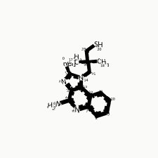 CCCCc1nc2c(N)nc3ccccc3c2n1CC(C)(C)CS